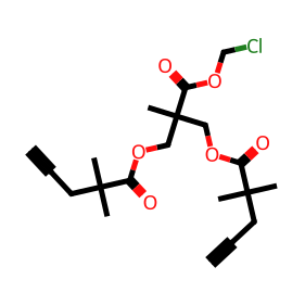 C#CCC(C)(C)C(=O)OCC(C)(COC(=O)C(C)(C)CC#C)C(=O)OCCl